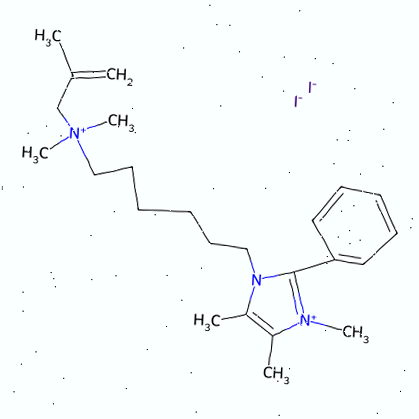 C=C(C)C[N+](C)(C)CCCCCCn1c(C)c(C)[n+](C)c1-c1ccccc1.[I-].[I-]